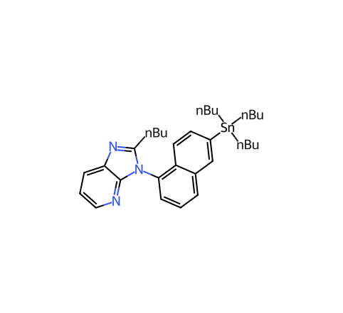 CCCCc1nc2cccnc2n1-c1cccc2c[c]([Sn]([CH2]CCC)([CH2]CCC)[CH2]CCC)ccc12